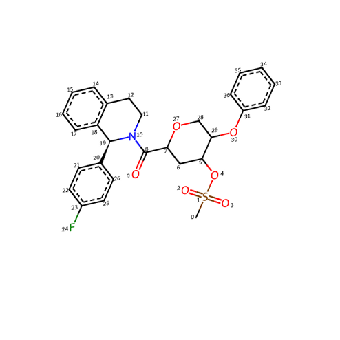 CS(=O)(=O)OC1CC(C(=O)N2CCc3ccccc3[C@@H]2c2ccc(F)cc2)OCC1Oc1ccccc1